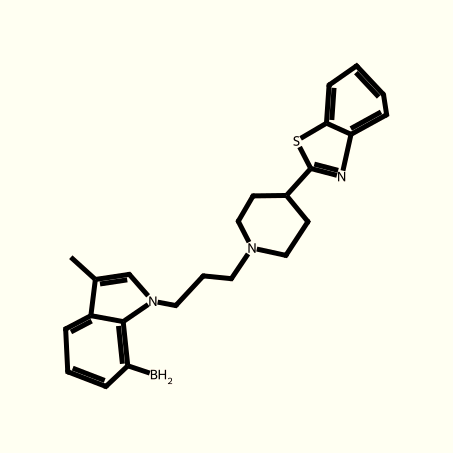 Bc1cccc2c(C)cn(CCCN3CCC(c4nc5ccccc5s4)CC3)c12